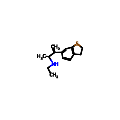 C=C(c1ccc2c(c1)SCC2)C(C)NCC